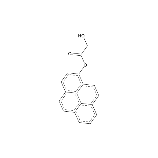 O=C(CO)Oc1ccc2ccc3cccc4ccc1c2c34